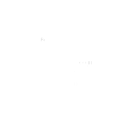 Cc1ccc(Br)cc1C(=O)C(=O)O